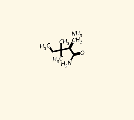 C=C(C(N)=O)C(C)(C)CC.N